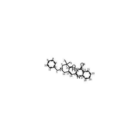 CC1(C)CN(Cc2ccccc2)C/C(=C/c2nc3ccccc3c(=O)[nH]2)C1=O